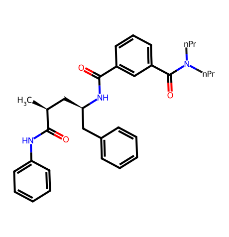 CCCN(CCC)C(=O)c1cccc(C(=O)N[C@H]([CH][C@H](C)C(=O)Nc2ccccc2)Cc2ccccc2)c1